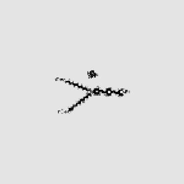 CCCCCCCCCCCCCCCCCCCCCCN(CCCCCCCCCCCCCCCCCCCCCC)c1ccc(/C=C/c2ccc(/C=C/c3cc[n+](CC)cc3)cc2)cc1.CCOS(=O)(=O)[O-]